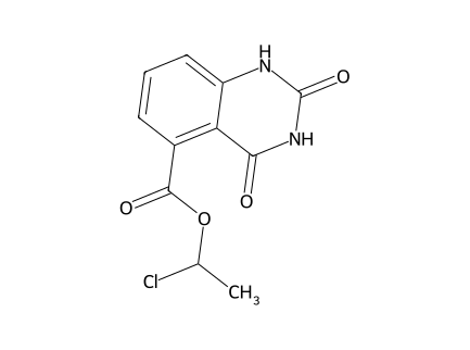 CC(Cl)OC(=O)c1cccc2[nH]c(=O)[nH]c(=O)c12